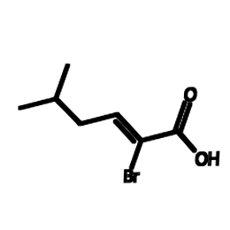 CC(C)C/C=C(\Br)C(=O)O